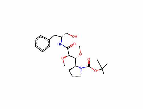 CO[C@@H]([C@@H](OC)C(=O)N[C@@H](CO)Cc1ccccc1)[C@@H]1CCCN1C(=O)OC(C)(C)C